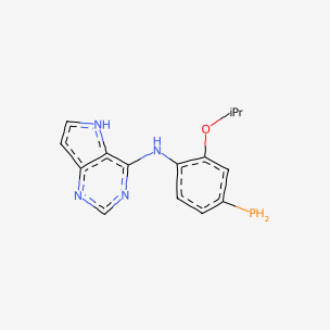 CC(C)Oc1cc(P)ccc1Nc1ncnc2cc[nH]c12